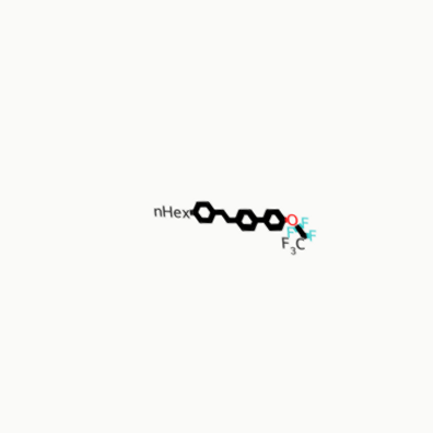 CCCCCCC1CCC(CCc2ccc(-c3ccc(OC(F)(F)C(F)C(F)(F)F)cc3)cc2)CC1